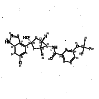 O=C(N[C@@H]1[C@@H]2C[C@@](O)(c3cc(Cl)cc4[nH]ncc34)C[C@@H]21)c1cccc(OC(F)(F)F)c1